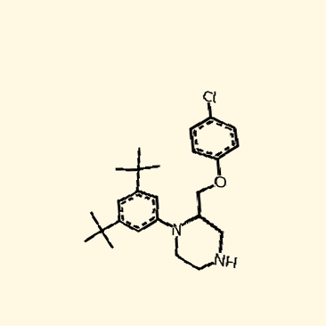 CC(C)(C)c1cc(N2CCNCC2COc2ccc(Cl)cc2)cc(C(C)(C)C)c1